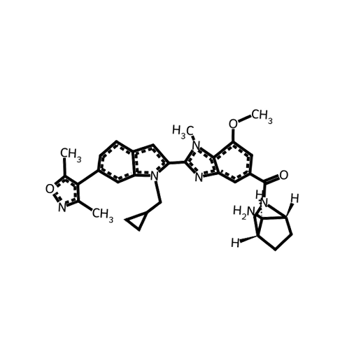 COc1cc(C(=O)N2C[C@H]3CC[C@@H]2[C@@H]3N)cc2nc(-c3cc4ccc(-c5c(C)noc5C)cc4n3CC3CC3)n(C)c12